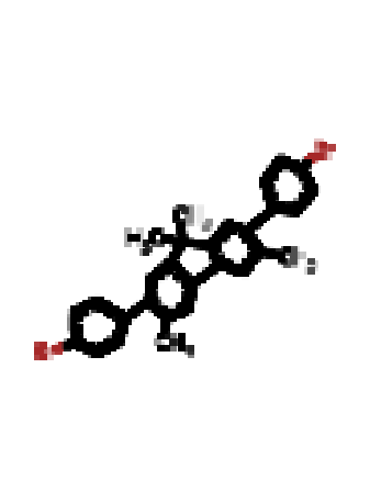 Cc1cc2c(cc1-c1ccc(Br)cc1)C(C)(C)c1cc(-c3ccc(Br)cc3)c(C)cc1-2